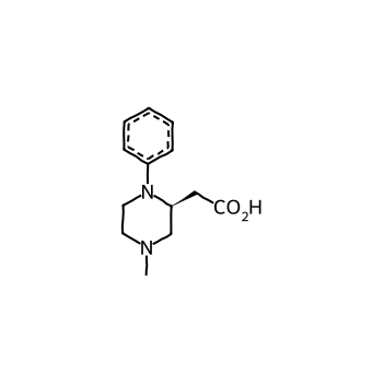 CN1CCN(c2ccccc2)[C@@H](CC(=O)O)C1